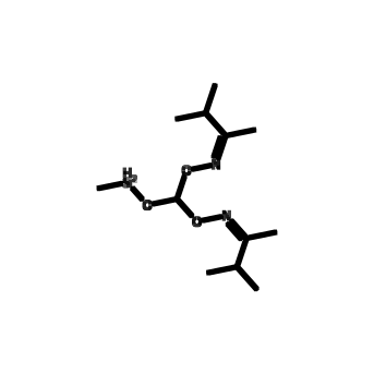 C[SiH2]OC(ON=C(C)C(C)C)ON=C(C)C(C)C